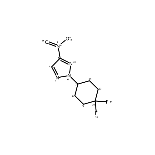 O=[N+]([O-])c1cnn(C2CCC(F)(F)CC2)n1